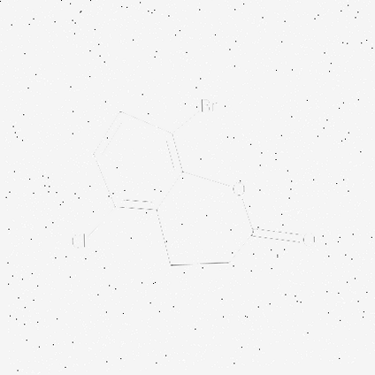 O=C1CCc2c(Cl)ccc(Br)c2O1